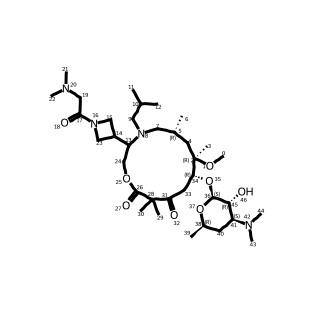 CO[C@]1(C)C[C@@H](C)CN(CC(C)C)C(C2CN(C(=O)CN(C)C)C2)COC(=O)C(C)(C)C(=O)C[C@H]1O[C@@H]1O[C@H](C)C[C@H](N(C)C)[C@H]1O